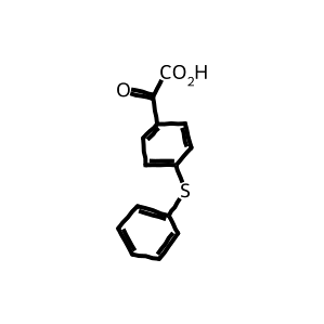 O=C(O)C(=O)c1ccc(Sc2ccccc2)cc1